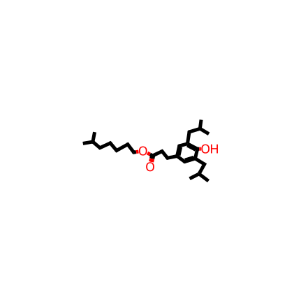 CC(C)CCCCCOC(=O)CCc1cc(CC(C)C)c(O)c(CC(C)C)c1